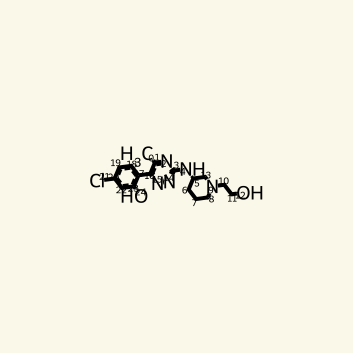 Cc1nc(N[C@@H]2CCCN(CCO)C2)nnc1-c1ccc(Cl)cc1O